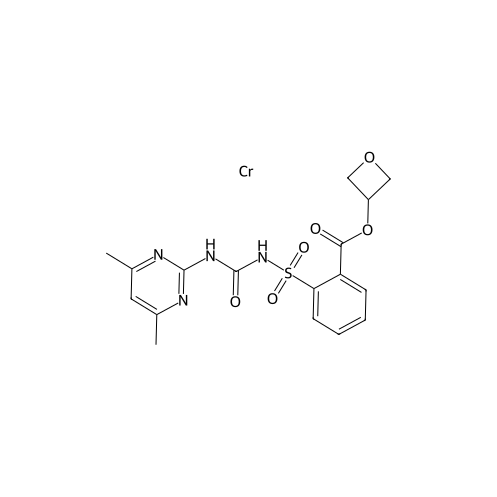 Cc1cc(C)nc(NC(=O)NS(=O)(=O)c2ccccc2C(=O)OC2COC2)n1.[Cr]